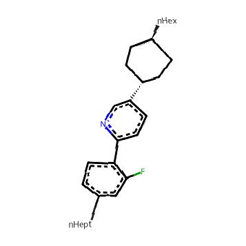 CCCCCCCc1ccc(-c2ccc([C@H]3CC[C@H](CCCCCC)CC3)cn2)c(F)c1